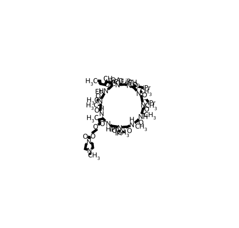 C/C=C/C[C@@H](C)[C@@H](OC(C)=O)[C@H]1C(=O)N[C@@H](CC)C(=O)N(C)[C@H](C)C(=O)N[C@@H]([C@H](C)COCCOC(=O)N2CCN(C)CC2)C(=O)N[C@@H](C(C)C)C(=O)N(C)[C@@H](CC(C)C)C(=O)N[C@@H](C)C(=O)N[C@H](C)C(=O)N(C)[C@@H](CC(C)C)C(=O)N(C)[C@@H](CC(C)C)C(=O)N(C)[C@@H](C(C)C)C(=O)N1C